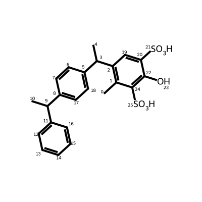 Cc1c(C(C)c2ccc(C(C)c3ccccc3)cc2)cc(S(=O)(=O)O)c(O)c1S(=O)(=O)O